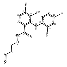 O=CCCONC(=O)c1ccc(F)c(F)c1Nc1ccc(I)cc1F